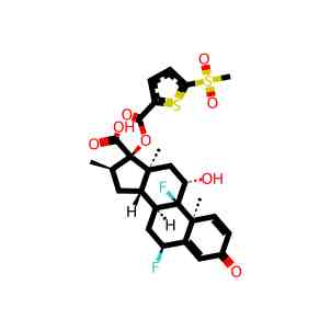 C[C@@H]1C[C@H]2[C@@H]3C[C@H](F)C4=CC(=O)C=C[C@]4(C)[C@@]3(F)[C@@H](O)C[C@]2(C)[C@@]1(OC(=O)c1ccc(S(C)(=O)=O)s1)C(=O)O